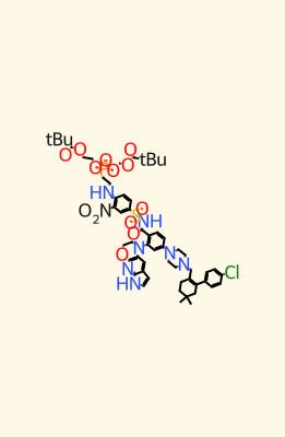 CC1(C)CCC(CN2CCN(c3ccc(C(=O)NS(=O)(=O)c4ccc(NCCP(=O)(OCCOC(=O)C(C)(C)C)OCOC(=O)C(C)(C)C)c([N+](=O)[O-])c4)c(N4CCOc5nc6[nH]ccc6cc54)c3)CC2)=C(c2ccc(Cl)cc2)C1